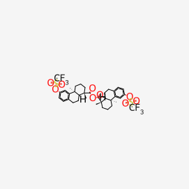 C[C@]1(C(=O)OC(=O)[C@@]2(C)CCC[C@]3(C)c4cc(OS(=O)(=O)C(F)(F)F)ccc4CC[C@@H]23)CCC[C@]2(C)c3cc(OS(=O)(=O)C(F)(F)F)ccc3CC[C@@H]12